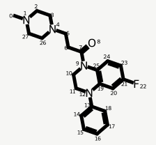 CN1CCN(CCC(=O)N2CCN(c3ccccc3)c3cc(F)ccc32)CC1